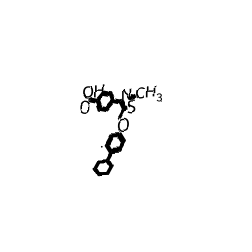 Cc1nc(-c2ccc(C(=O)O)cc2)c(COc2c[c]c(C3CCCCC3)cc2)s1